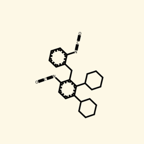 O=C=Nc1ccccc1Cc1c(N=C=O)ccc(C2CCCCC2)c1C1CCCCC1